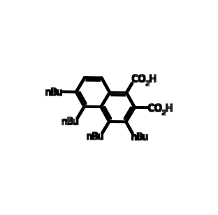 CCCCc1ccc2c(C(=O)O)c(C(=O)O)c(CCCC)c(CCCC)c2c1CCCC